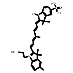 CCN1/C(=C/C=C/C(C)=C/C=C/C2=[N+](CCC(=O)O)c3ccc(C)cc3C2(C)C)C(C)(C)c2cc(P(=O)(O)O)ccc21